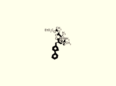 CCOC(=O)OC(C)OC(=O)[C@H](C)NC(=O)[C@H](Cc1ccc(-c2ccccc2)cc1)CP(=O)(O)[C@H](C)N